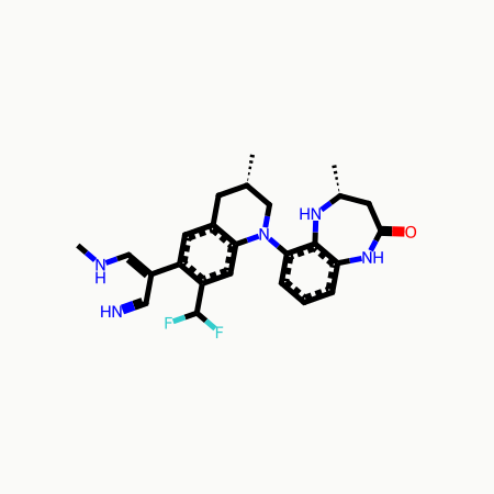 CN/C=C(\C=N)c1cc2c(cc1C(F)F)N(c1cccc3c1N[C@H](C)CC(=O)N3)C[C@@H](C)C2